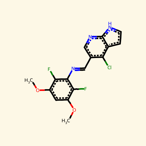 COc1cc(OC)c(F)c(N=Cc2cnc3[nH]ccc3c2Cl)c1F